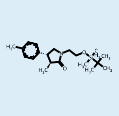 Cc1ccc([C@@H]2CN(CCO[Si](C)(C)C(C)(C)C)C(=O)[C@H]2C)cc1